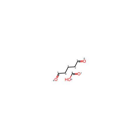 O=CCCCC=O.O=CO